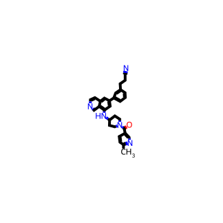 Cc1ccc(C(=O)N2CCC(Nc3cc(-c4cccc(CCC#N)c4)cc4ccncc34)CC2)cn1